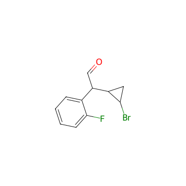 O=CC(c1ccccc1F)C1CC1Br